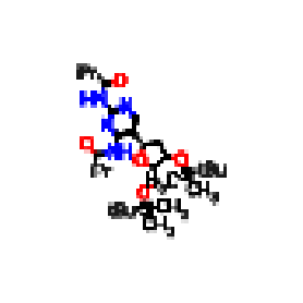 CC(C)C(=O)Nc1ncc([C@H]2CC(O[Si](C)(C)C(C)(C)C)[C@@H](CO[Si](C)(C)C(C)(C)C)O2)c(NC(=O)C(C)C)n1